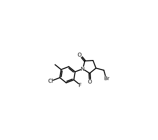 Cc1cc(N2C(=O)CC(CBr)C2=O)c(F)cc1Cl